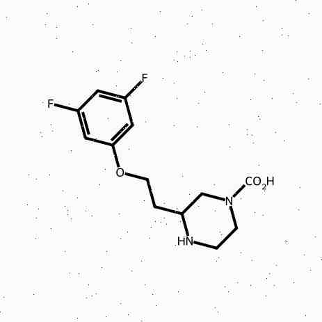 O=C(O)N1CCNC(CCOc2cc(F)cc(F)c2)C1